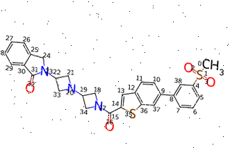 CS(=O)(=O)c1cccc(-c2ccc3cc(C(=O)N4CC(N5CC(N6Cc7ccccc7C6=O)C5)C4)sc3c2)c1